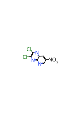 O=[N+]([O-])c1cnc2nc(Cl)c(Cl)nc2c1